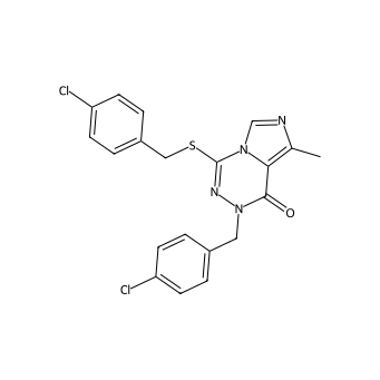 Cc1ncn2c(SCc3ccc(Cl)cc3)nn(Cc3ccc(Cl)cc3)c(=O)c12